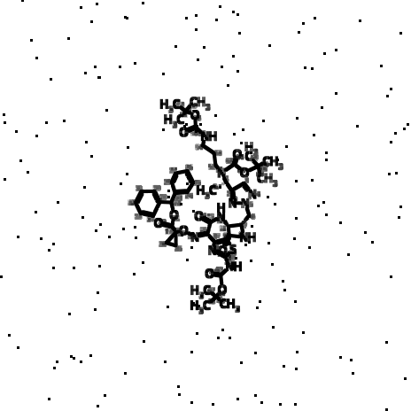 C[C@@H](c1cnn(C[C@H]2NC(=O)[C@H]2NC(=O)C(=NOC2(C(=O)OC(c3ccccc3)c3ccccc3)CC2)c2csc(NC(=O)OC(C)(C)C)n2)n1)N(CCCNC(=O)OC(C)(C)C)C(=O)OC(C)(C)C